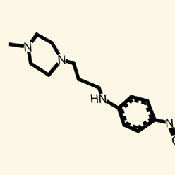 CN1CCN(CCCNc2ccc(N=O)cc2)CC1